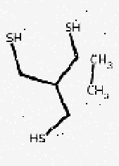 CC.SCC(CS)CS